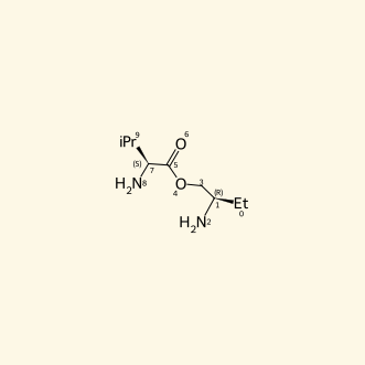 CC[C@@H](N)COC(=O)[C@@H](N)C(C)C